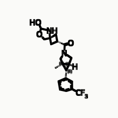 C[C@]12CN(C(=O)[C@H]3C[C@]4(COC(O)N4)C3)C[C@H]1[C@@H]2c1cccc(C(F)(F)F)c1